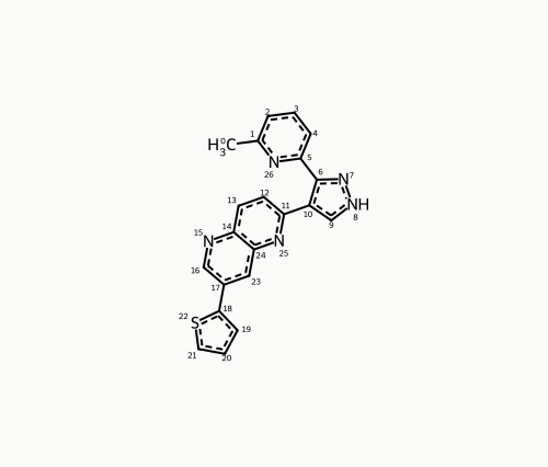 Cc1cccc(-c2n[nH]cc2-c2ccc3ncc(-c4cccs4)cc3n2)n1